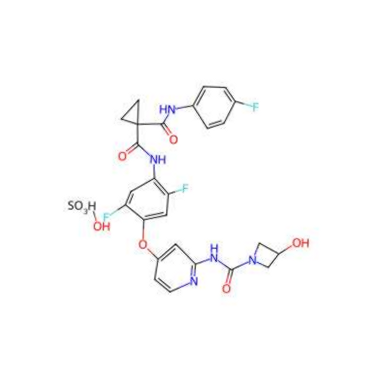 O=C(Nc1cc(Oc2cc(F)c(NC(=O)C3(C(=O)Nc4ccc(F)cc4)CC3)cc2F)ccn1)N1CC(O)C1.O=S(=O)(O)O